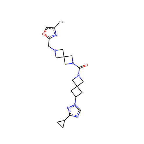 CC(C)(C)c1coc(CN2CC3(C2)CN(C(=O)N2CC4(CC(n5cnc(C6CC6)n5)C4)C2)C3)n1